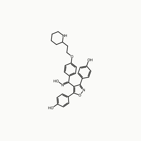 ON=C(c1ccc(OCCC2CCCCN2)cc1)c1c(-c2ccc(O)cc2)noc1-c1ccc(O)cc1